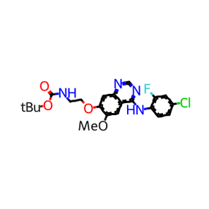 COc1cc2c(Nc3ccc(Cl)cc3F)ncnc2cc1OCCNC(=O)OC(C)(C)C